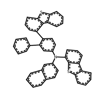 c1ccc(-c2cc(N(c3ccc4ccccc4c3)c3cccc4c3sc3ccccc34)ccc2-c2cccc3sc4ccccc4c23)cc1